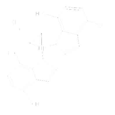 Cc1ccc(C)c2c1C=C[CH]2[Hf+2]1([CH]2C=Cc3c(C)ccc(C)c32)[CH2][CH2]1.[Cl-].[Cl-]